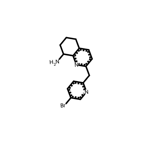 NC1CCCc2ccc(Cc3ccc(Br)cn3)nc21